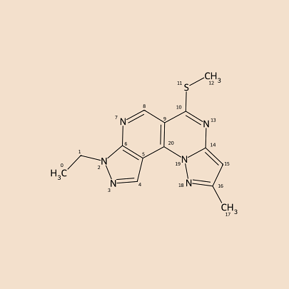 CCn1ncc2c1ncc1c(SC)nc3cc(C)nn3c12